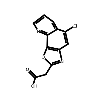 O=C(O)Cc1nc2cc(Cl)c3cccnc3c2o1